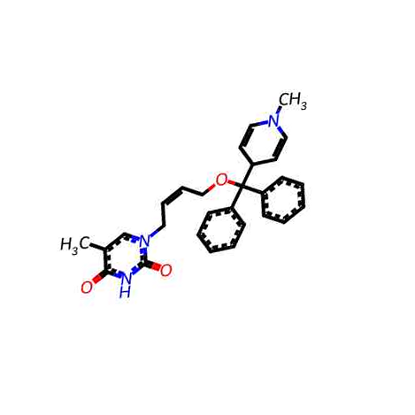 Cc1cn(C/C=C\COC(c2ccccc2)(c2ccccc2)C2C=CN(C)C=C2)c(=O)[nH]c1=O